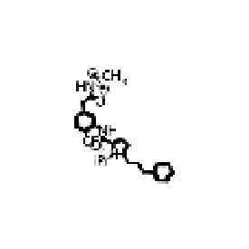 CC(C)n1c(CCCc2ccccc2)ccc1C(=O)Nc1cc(CC(=O)NS(C)(=O)=O)ccc1C(F)(F)F